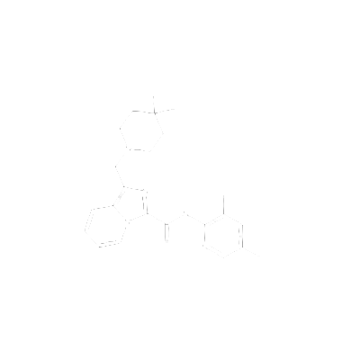 O=C(Nc1ncc(Cl)cc1Cl)c1nc(CN2CCC(F)(F)CC2)c2ccccn12